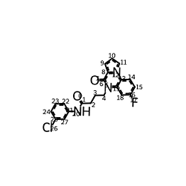 O=C(CCCn1c(=O)c2cccn2c2ccc(F)cc21)Nc1cccc(Cl)c1